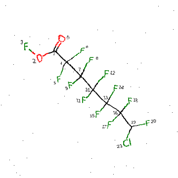 O=C(OF)C(F)(F)C(F)(F)C(F)(F)C(F)(F)C(F)(F)C(F)Cl